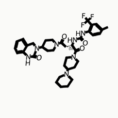 Cc1ccc(NC(=O)N[C@@H](CC(=O)N2CCC(N3Cc4ccccc4NC3=O)CC2)C(=O)N2CCC(N3CCCCC3)CC2)c(C(F)(F)F)c1